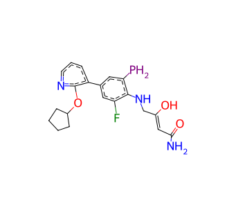 NC(=O)/C=C(\O)CNc1c(F)cc(-c2cccnc2OC2CCCC2)cc1P